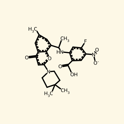 Cc1cc(C(C)Nc2cc(F)c([N+](=O)[O-])cc2C(=O)O)c2oc(N3CCC(C)(C)CC3)cc(=O)c2c1